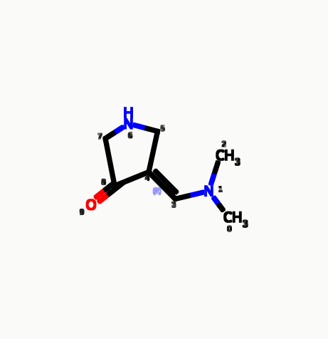 CN(C)/C=C1\CNCC1=O